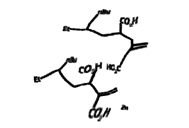 C=C(C(=O)O)C(CC(CC)CCCC)C(=O)O.C=C(C(=O)O)C(CC(CC)CCCC)C(=O)O.[Zn]